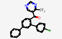 O=C(c1ccc(-c2ccccc2)cc1-c1ccc(F)cc1)c1cncnc1C(F)(F)F